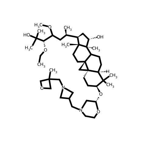 CCO[C@@H](C(C[C@@H](C)[C@H]1C[C@H](O)[C@@]2(C)C3CC[C@H]4C(C)(C)[C@@H](O[C@H]5CN(CC6CN(CC7(C)COC7)C6)CCO5)CC[C@@]45C[C@@]35CC[C@]12C)OC)C(C)(C)O